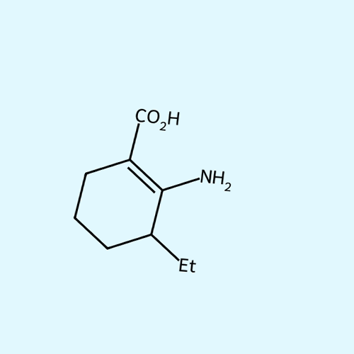 CCC1CCCC(C(=O)O)=C1N